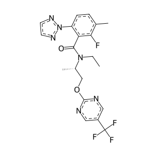 CCN(C(=O)c1c(-n2nccn2)ccc(C)c1F)[C@@H](C)COc1ncc(C(F)(F)F)cn1